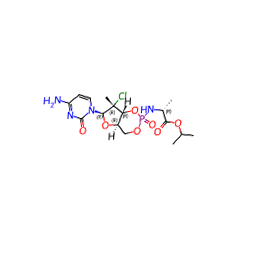 CC(C)OC(=O)[C@@H](C)NP1(=O)OC[C@H]2O[C@@H](n3ccc(N)nc3=O)[C@](C)(Cl)[C@@H]2O1